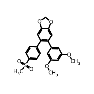 COc1cc(OC)cc(-c2cc3c(cc2-c2ccc(S(C)(=O)=O)cc2)OCO3)c1